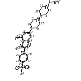 CC(C)CN1CCC(N2CCC(c3cc(F)c4c(c3)nc(-c3ccc(S(C)(=O)=O)cc3)n4C)CC2)CC1